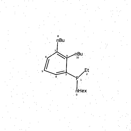 CCCCCCP(CC)c1cccc(CCCC)c1CCCC